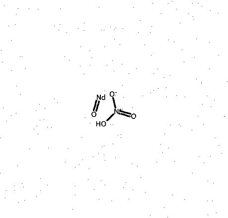 O=[N+]([O-])O.[O]=[Nd]